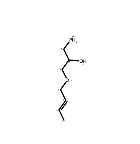 CC=CCOCC(O)CP